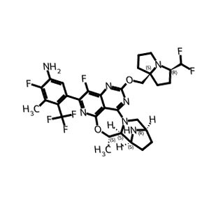 Cc1c(F)c(N)cc(-c2nc3c4c(nc(OC[C@@]56CCCN5[C@@H](C(F)F)CC6)nc4c2F)N2C[C@H]4CC[C@H](N4)[C@H]2[C@H](C)O3)c1C(F)(F)F